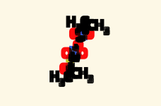 CC(C)C(=O)CSC1CC(=O)N(COCCN2C(=O)CC(C(C)C)C2=O)C1=O